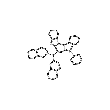 c1ccc(-n2c3ccccc3c3c4c(oc5ccccc54)c(N(c4ccc5ccccc5c4)c4ccc5ccccc5c4)cc32)cc1